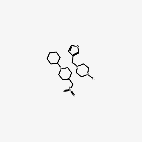 CCN1CCN(Cc2ccoc2)CC1.O=[SH](=O)CN1CCN(C2CCCCC2)CC1